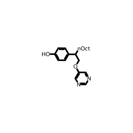 CCCCCCCCC(COc1cncnc1)c1ccc(O)cc1